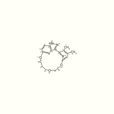 Cc1cc2nc(c1C)-c1n[nH]c3ccc(cc13)OCCCOCCO2